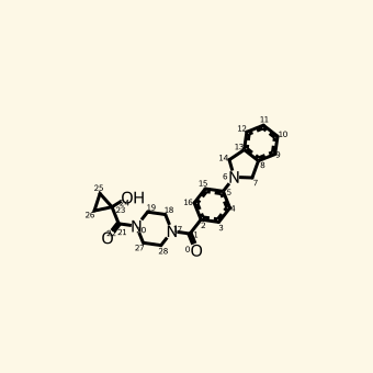 O=C(c1ccc(N2Cc3ccccc3C2)cc1)N1CCN(C(=O)C2(O)CC2)CC1